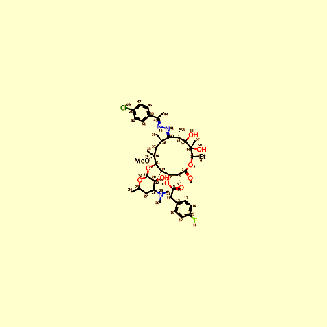 CC[C@H]1OC(=O)[C@H](C)[C@@H](OC(=O)Cc2ccc(F)cc2)[C@H](C)[C@@H](OC2OC(C)CC(N(C)C)C2O)[C@](C)(OC)C[C@@H](C)/C(=N\N=C(/C)c2ccc(Cl)cc2)[C@H](C)[C@@H](O)[C@]1(C)O